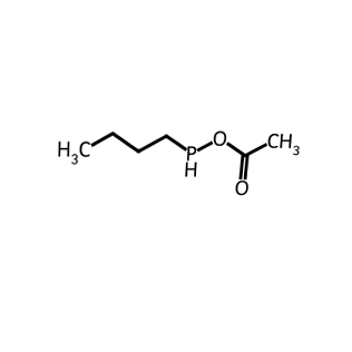 CCCCPOC(C)=O